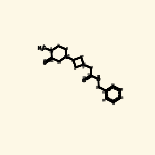 CN1CCN(C2CN(CC(=O)OCc3ccccc3)C2)CC1=O